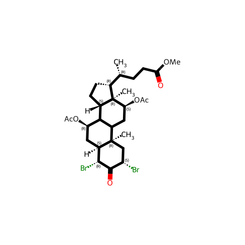 COC(=O)CC[C@@H](C)[C@H]1CC[C@H]2C3C(C[C@H](OC(C)=O)[C@]12C)[C@@]1(C)C[C@H](Br)C(=O)[C@H](Br)[C@H]1C[C@H]3OC(C)=O